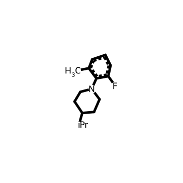 Cc1cccc(F)c1N1CCC(C(C)C)CC1